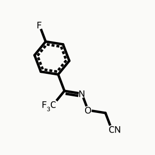 N#CCON=C(c1ccc(F)cc1)C(F)(F)F